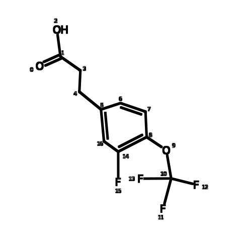 O=C(O)CCc1ccc(OC(F)(F)F)c(F)c1